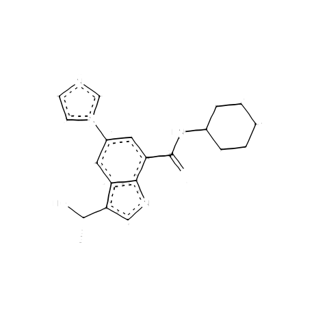 C[C@H](O)c1c[nH]c2c(C(=O)NC3CCCCC3)cc(-n3ccnc3)cc12